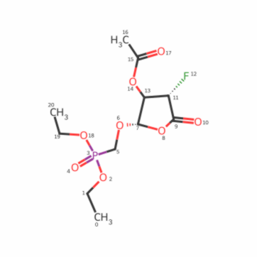 CCOP(=O)(CO[C@H]1OC(=O)[C@@H](F)C1OC(C)=O)OCC